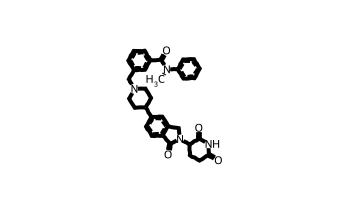 CN(C(=O)c1cccc(CN2CCC(c3ccc4c(c3)CN(C3CCC(=O)NC3=O)C4=O)CC2)c1)c1ccccc1